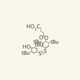 CC(C)(SC1=CC(C(C)(C)C)C(OC(=O)CCCC(=O)O)C(C(C)(C)C)=C1)Sc1cc(C(C)(C)C)c(O)c(C(C)(C)C)c1